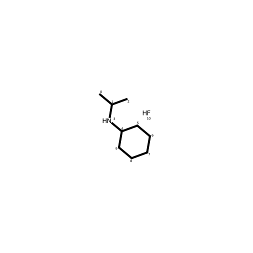 CC(C)NC1CCCCC1.F